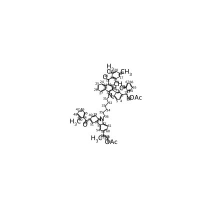 CC(=O)O/N=C(/c1ccc2c(c1)c1cc(C(=O)c3c(C)cc(C)cc3C)c3ccccc3c1n2CCCCCCn1c2ccc(C(=O)c3ccccc3C)cc2c2cc(/C(C)=N/OC(C)=O)ccc21)c1ccccc1C